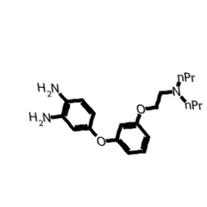 CCCN(CCC)CCOc1cccc(Oc2ccc(N)c(N)c2)c1